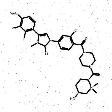 COc1ccc(C2=CN(c3ccc(C(=O)N4CCN(C(=O)[C@@H]5CC[C@H](O)C[N+]5(C)C)CC4)c(Cl)c3)C(Cl)N2C)c(F)c1F